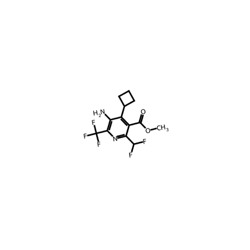 COC(=O)c1c(C(F)F)nc(C(F)(F)F)c(N)c1C1CCC1